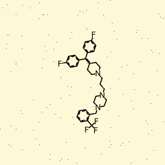 Fc1ccc(C(=C2CCN(CCCN3CCN(Cc4ccccc4C(F)(F)F)CC3)CC2)c2ccc(F)cc2)cc1